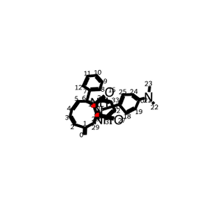 C=C1/C=C\C=C/C2(c3ccccc3)NC(=O)N(c3ccc(N(C)C)cc3)C(=O)NC1C1C=CC=CC12